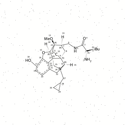 CC[C@H](C)[C@H](N)C(=O)NC[C@H]1C[C@@]23CC[C@]1(OC)[C@@H]1Oc4c(O)ccc5c4[C@@]12CCN(CC1CC1)[C@@H]3C5